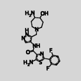 Nc1sc(-c2c(F)cccc2F)nc1C(=O)Nc1cn[nH]c1CN1CCC(N)C(O)CC1